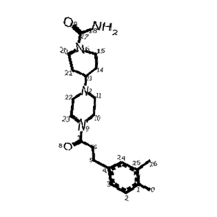 Cc1ccc(C[CH]C(=O)N2CCN(C3CCN(C(N)=O)CC3)CC2)cc1C